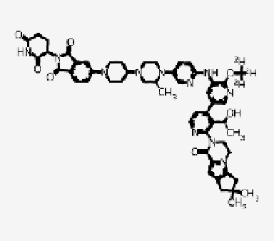 [2H]C([2H])([2H])Oc1ncc(-c2ccnc(N3CCn4c(cc5c4CC(C)(C)C5)C3=O)c2[C@H](C)O)cc1Nc1ccc(N2CCN(C3CCN(c4ccc5c(c4)C(=O)N(C4CCC(=O)NC4=O)C5=O)CC3)C[C@@H]2C)cn1